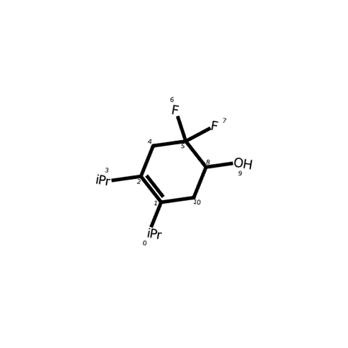 CC(C)C1=C(C(C)C)CC(F)(F)C(O)C1